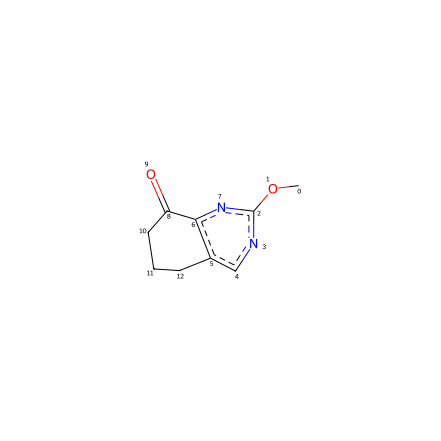 COc1ncc2c(n1)C(=O)CCC2